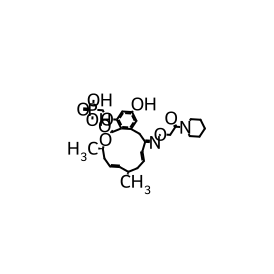 C[C@@H]1C/C=C/[C@H](C)C/C=C/C(=N/OCC(=O)N2CCCCC2)Cc2cc(O)cc(OCP(=O)(O)O)c2C(=O)O1